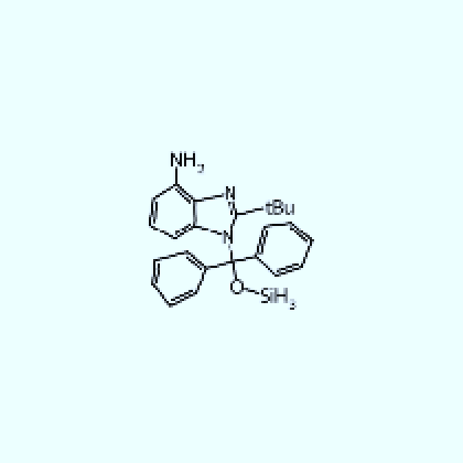 CC(C)(C)c1nc2c(N)cccc2n1C(O[SiH3])(c1ccccc1)c1ccccc1